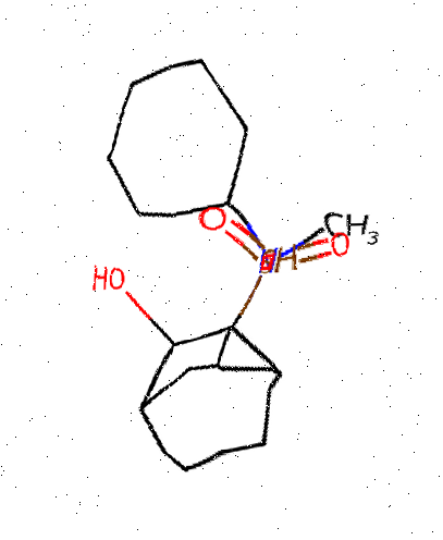 CN(C1CCCCC1)C1C(O)C2CCC1C([SH](=O)=O)C2